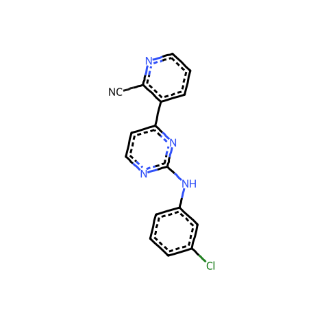 N#Cc1ncccc1-c1ccnc(Nc2cccc(Cl)c2)n1